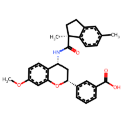 COc1ccc2c(c1)O[C@@H](c1cccc(C(=O)O)c1)C[C@H]2NC(=O)[C@@]1(C)CCc2cc(C)ccc21